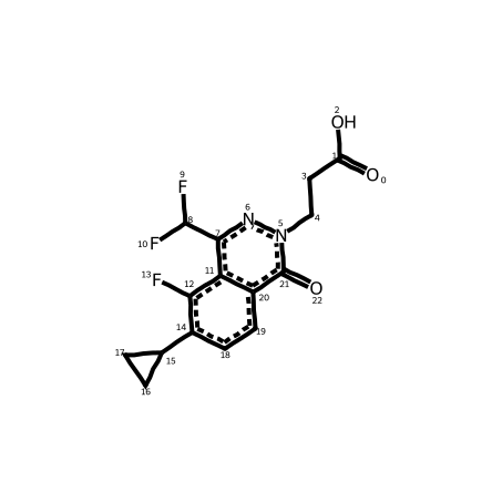 O=C(O)CCn1nc(C(F)F)c2c(F)c(C3CC3)ccc2c1=O